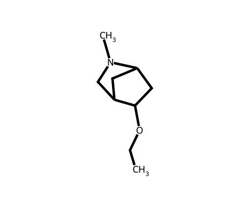 CCOC1CC2CC1CN2C